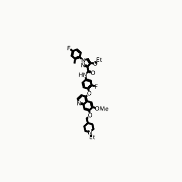 CCOc1cn(-c2ccc(F)cc2C)nc1C(=O)Nc1ccc(Oc2ccnc3cc(OCC4CCN(CC)CC4)c(OC)cc23)c(F)c1